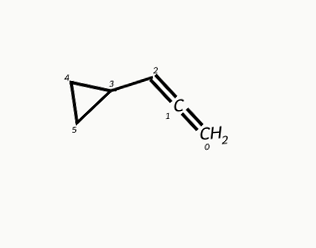 C=C=C[C]1CC1